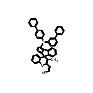 CC/C=C\C1=C(C)C2(c3ccccc3O1)c1ccccc1-c1c(N(c3ccc(-c4ccccc4)cc3)c3cccc(-c4ccccc4)c3)cccc12